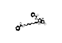 O=C1C[C@H]2C[C@@H](OC(=O)c3ccccc3)[C@H](C=CCCCCCCOC(=O)c3ccccc3)[C@H]2C1